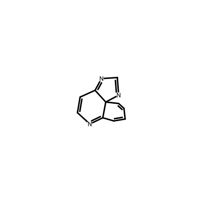 C1=CC2=NC=CC3=NC=NC23C=C1